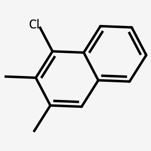 Cc1cc2ccccc2c(Cl)c1C